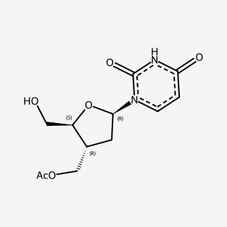 CC(=O)OC[C@H]1C[C@H](n2ccc(=O)[nH]c2=O)O[C@@H]1CO